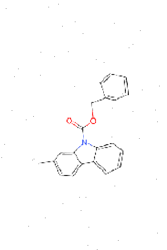 Cc1ccc2c3ccccc3n(C(=O)OCc3ccccc3)c2c1